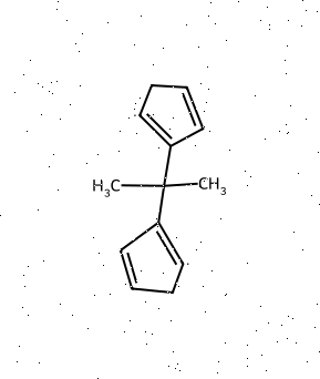 CC(C)(C1=[C]CC=C1)C1=[C]CC=C1